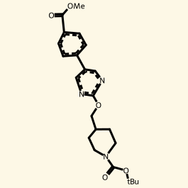 COC(=O)c1ccc(-c2cnc(OCC3CCN(C(=O)OC(C)(C)C)CC3)nc2)cc1